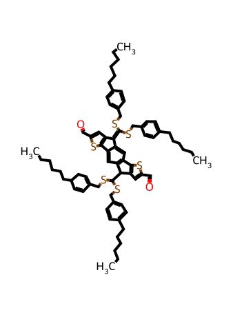 CCCCCCc1ccc(CSC(SCc2ccc(CCCCCC)cc2)=C2c3cc4c(cc3-c3sc(C=O)cc32)C(C(SCC2=CCC(CCCCCC)C=C2)SCc2ccc(CCCCCC)cc2)c2cc(C=O)sc2-4)cc1